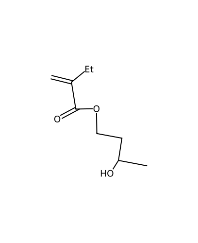 C=C(CC)C(=O)OCCC(C)O